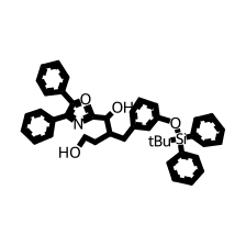 CC(C)(C)[Si](Oc1cccc(CC(CCO)C(O)c2nc(-c3ccccc3)c(-c3ccccc3)o2)c1)(c1ccccc1)c1ccccc1